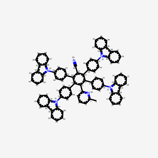 Cc1cccc(-c2c(-c3ccc(-n4c5ccccc5c5ccccc54)cc3)c(-c3ccc(-n4c5ccccc5c5ccccc54)cc3)c(C#N)c(-c3ccc(-n4c5ccccc5c5ccccc54)cc3)c2-c2ccc(-n3c4ccccc4c4ccccc43)cc2)n1